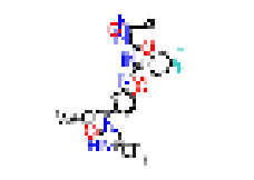 COC[C@@H](c1ccc2oc([C@@H](NC(=O)c3nonc3C3CC3)C3CCC(F)(F)CC3)nc2c1)N1C[C@@H](C(F)(F)F)NC1=O